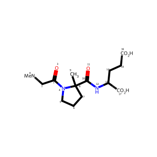 CNCC(=O)N1CCCC1(C)C(=O)NC(CCC(=O)O)C(=O)O